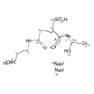 CCCCCCCCCCCCNC(=O)CC(C(=O)NC(C)O)S(=O)(=O)O.[NaH].[NaH]